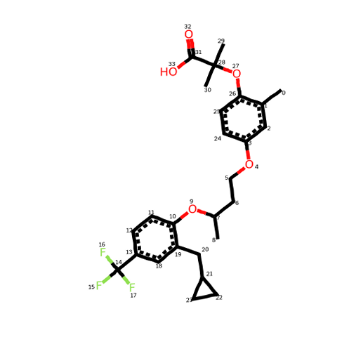 Cc1cc(OCCC(C)Oc2ccc(C(F)(F)F)cc2CC2CC2)ccc1OC(C)(C)C(=O)O